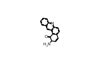 NC1C=Cc2ccc3nc4ccccc4cc3c2C1=O